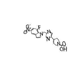 O=C(O)N1CC=C(c2cnc(Cn3ccc4cc([N+](=O)[O-])cc(F)c43)cn2)CC1